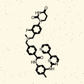 Cc1ccc(NC(=O)c2ccc(CN(C)Cc3ccc(N4CCC(=O)NC4=O)cc3F)cc2)cc1Nc1nccc(-c2cccnc2)n1